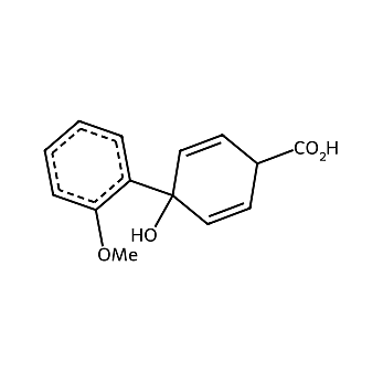 COc1ccccc1C1(O)C=CC(C(=O)O)C=C1